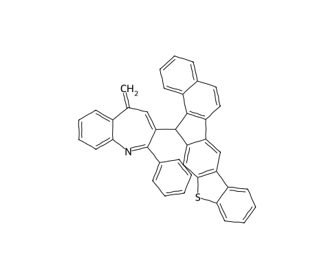 C=C1C=C(C2c3cc4sc5ccccc5c4cc3-c3ccc4ccccc4c32)C(c2ccccc2)=Nc2ccccc21